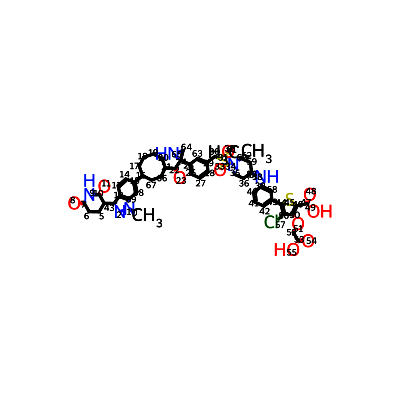 Cn1nc(C2CCC(=O)NC2=O)c2ccc(C3CCCCC(C(=O)C4(c5cccc(CS(=O)(=O)N6CC[C@H](Nc7cccc(-c8sc(C(=O)O)c(OCC(=O)O)c8Cl)c7)CC6(C)C)c5)CN4)CC3)cc21